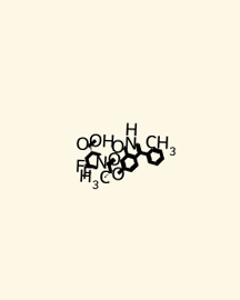 Cc1ccccc1-c1c[nH]c(=O)c2cc(O[C@H](C)C(=O)N3C[C@@H](C(=O)O)CC(F)(F)C3)ccc12